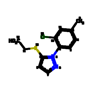 Cc1ccc(-n2nccc2SCC(=O)O)c(Cl)c1